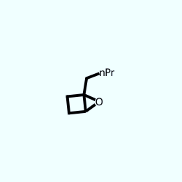 CCCCC12CCC1O2